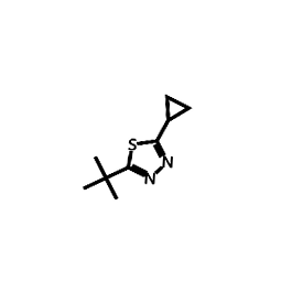 CC(C)(C)c1nnc(C2CC2)s1